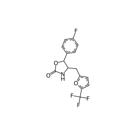 O=C1NC(Cc2ccc(C(F)(F)F)o2)C(c2ccc(F)cc2)O1